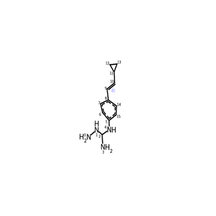 NNC(N)Nc1ccc(/C=C/C2CC2)cc1